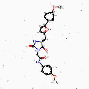 COc1ccc(NC(=O)CN2C(=O)N/C(=C\c3ccc(-c4ccc(OC)cc4)o3)C2=O)cc1